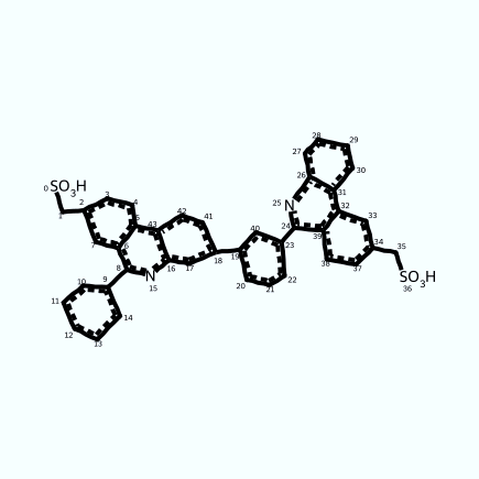 O=S(=O)(O)Cc1ccc2c(c1)c(-c1ccccc1)nc1cc(-c3cccc(-c4nc5ccccc5c5cc(CS(=O)(=O)O)ccc45)c3)ccc12